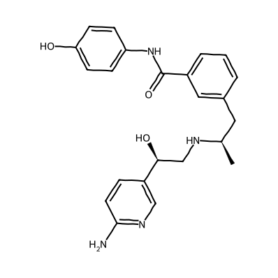 C[C@H](Cc1cccc(C(=O)Nc2ccc(O)cc2)c1)NC[C@H](O)c1ccc(N)nc1